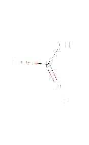 CC(=O)O.[O]